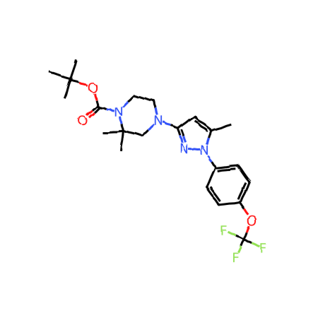 Cc1cc(N2CCN(C(=O)OC(C)(C)C)C(C)(C)C2)nn1-c1ccc(OC(F)(F)F)cc1